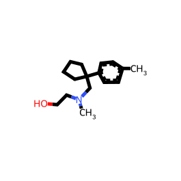 Cc1ccc(C2(CN(C)CCO)CCCC2)cc1